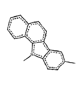 Cc1ccc2c(c1)c1ccc3ccccc3c1n2C